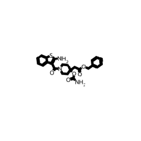 NC(=O)OC1(CC(=O)OCc2ccccc2)CCN(C(=O)c2c(N)sc3ccccc23)CC1